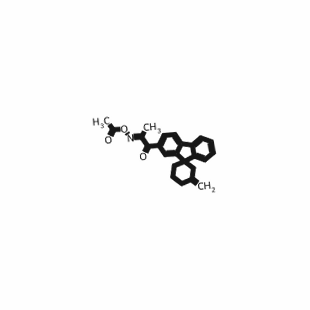 C=C1CCCC2(C1)c1ccccc1-c1ccc(C(=O)/C(C)=N/OC(C)=O)cc12